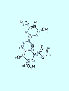 C[C@@H]1CN(c2cnc3c(=O)c(C(=O)O)cn(-c4nccs4)c3n2)C[C@H](C)N1